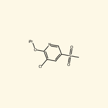 CC(C)Oc1ncc(S(C)(=O)=O)cc1Cl